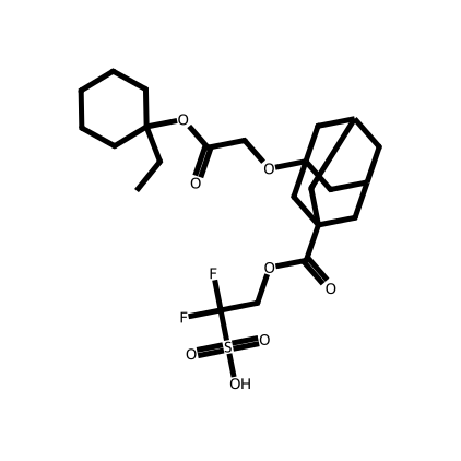 CCC1(OC(=O)COC23CC4CC(C2)CC(C(=O)OCC(F)(F)S(=O)(=O)O)(C4)C3)CCCCC1